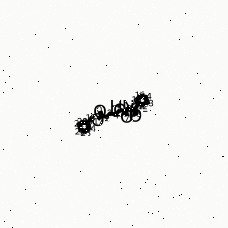 O=C(CCCOC(=O)N[S+]([O-])c1ccccc1)OCc1ccccc1